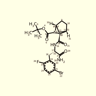 CC(C)(C)OC(=O)N1[C@@H]2CC[C@@H](C2)[C@H]1C(=O)N[C@@H](Cc1cc(Br)ccc1F)C(N)=O